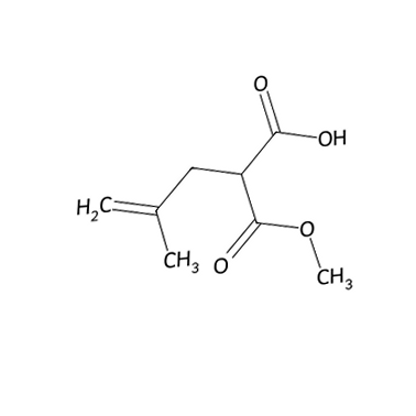 C=C(C)CC(C(=O)O)C(=O)OC